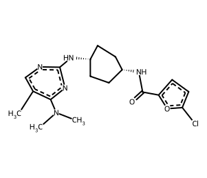 Cc1cnc(N[C@H]2CC[C@@H](NC(=O)c3ccc(Cl)o3)CC2)nc1N(C)C